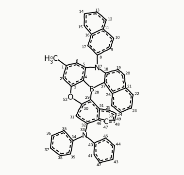 Cc1cc2c3c(c1)N(c1ccc4ccccc4c1)c1ccc4ccccc4c1B3c1c(cc(N(c3ccccc3)c3ccccc3)c3ccccc13)O2